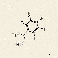 CC(CO)c1c(F)c(F)c(F)c(F)c1F